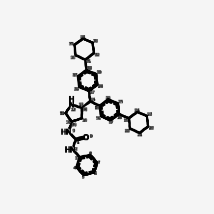 O=C(Nc1ccccc1)N[C@H]1CN[C@@H](C(c2ccc(C3CCCCC3)cc2)c2ccc(C3CCCCC3)cc2)C1